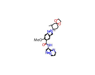 COc1cc2nn([C@H]3CCC4(C[C@@H]3C)OCCO4)cc2cc1C(=O)Nc1cnn2cccnc12